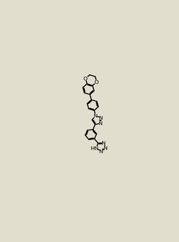 c1cc(-c2cn(-c3ccc(-c4ccc5c(c4)OCCO5)cc3)nn2)cc(-c2nnn[nH]2)c1